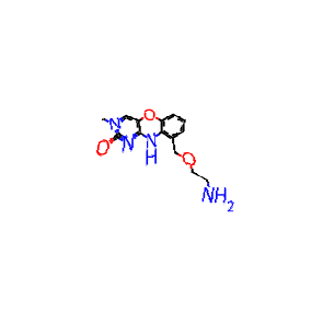 Cn1cc2c(nc1=O)Nc1c(COCCN)cccc1O2